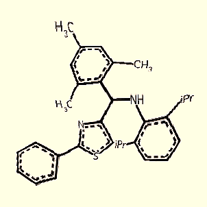 Cc1cc(C)c(C(Nc2c(C(C)C)cccc2C(C)C)c2csc(-c3ccccc3)n2)c(C)c1